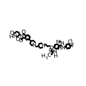 C=CC(=O)Nc1cc2c(Nc3ccc(F)c(Cl)c3)ncnc2cc1OCCCN1CCC(CN2CCC(c3ccc4c(c3)C(=O)N(C3CCC(=O)NC3=O)C4=O)CC2)CC1